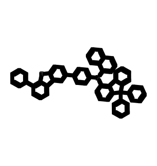 c1ccc(-c2cccc3c2oc2ccc(-c4ccc(N(c5cccc6c5-c5ccccc5C6(c5ccccc5)c5ccccc5)c5cccc6ccccc56)cc4)cc23)cc1